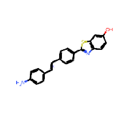 Nc1ccc(/C=C/c2ccc(-c3nc4ccc(O)cc4s3)cc2)cc1